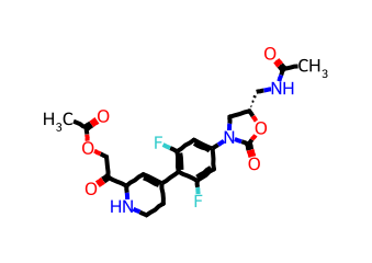 CC(=O)NC[C@H]1CN(c2cc(F)c(C3=CC(C(=O)COC(C)=O)NCC3)c(F)c2)C(=O)O1